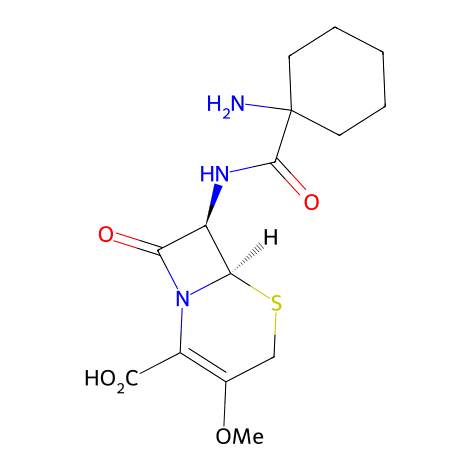 COC1=C(C(=O)O)N2C(=O)[C@@H](NC(=O)C3(N)CCCCC3)[C@H]2SC1